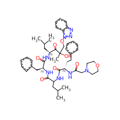 CC(C)CC(NC(=O)[C@H](CCc1ccccc1)NC(=O)CN1CCOCC1)C(=O)N[C@@H](Cc1ccccc1)C(=O)N[C@@H](CC(C)C)C(=O)C(C)(O)COn1nnc2ccccc21